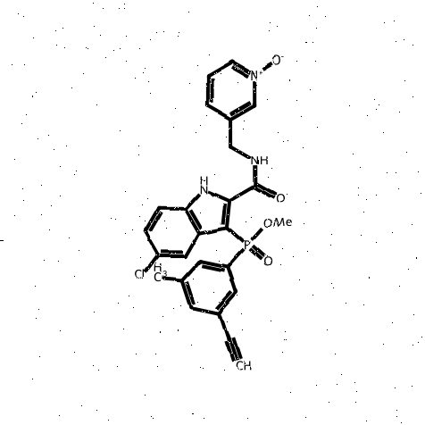 C#Cc1cc(C)cc(P(=O)(OC)c2c(C(=O)NCc3ccc[n+]([O-])c3)[nH]c3ccc(Cl)cc23)c1